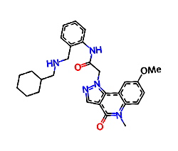 COc1ccc2c(c1)c1c(cnn1CC(=O)Nc1ccccc1CNCC1CCCCC1)c(=O)n2C